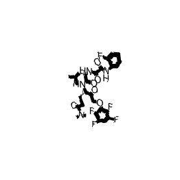 CC(C)C[C@H](NC(=O)C(=O)Nc1ccccc1F)C(=O)N[C@@H](CCC(=O)N(C)C)C(=O)COc1c(F)c(F)cc(F)c1F